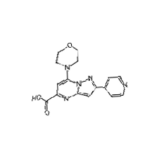 O=C(O)c1cc(N2CCOCC2)n2nc(-c3ccncc3)cc2n1